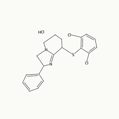 Cl.Clc1cccc(Cl)c1SC1CCCN2CC(c3ccccc3)N=C12